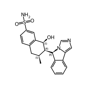 C[C@H]1Cc2ccc(S(N)(=O)=O)cc2[C@@H](O)[C@H]1[C@@H]1c2ccccc2-c2cncn21